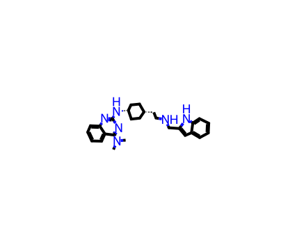 CN(C)c1nc(N[C@H]2CC[C@@H](CCNCc3cc4ccccc4[nH]3)CC2)nc2ccccc12